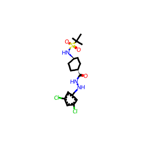 CC(C)(C)S(=O)(=O)N[C@H]1CC[C@H](C(=O)NNc2cc(Cl)cc(Cl)c2)CC1